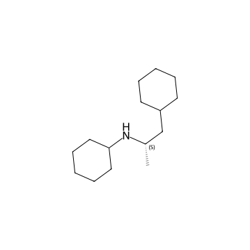 C[C@@H](CC1CCCCC1)NC1CCCCC1